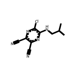 CC(C)CNc1nc(C#N)c(C#N)nc1Cl